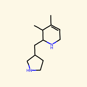 CC1=CCNC(CC2CCNC2)C1C